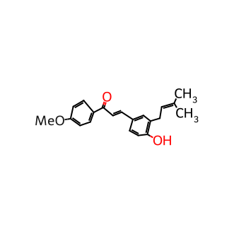 COc1ccc(C(=O)/C=C/c2ccc(O)c(CC=C(C)C)c2)cc1